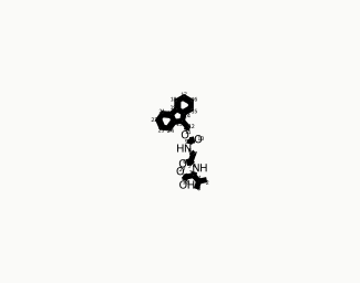 CC(C)C(NC(=O)CNC(=O)OCC1c2ccccc2-c2ccccc21)C(=O)O